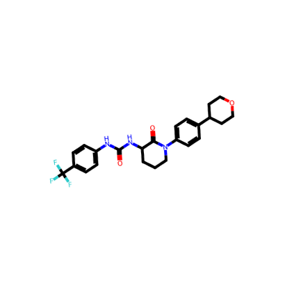 O=C(Nc1ccc(C(F)(F)F)cc1)NC1CCCN(c2ccc(C3CCOCC3)cc2)C1=O